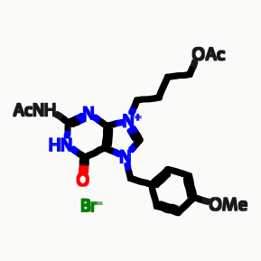 COc1ccc(Cn2c[n+](CCCCOC(C)=O)c3nc(NC(C)=O)[nH]c(=O)c32)cc1.[Br-]